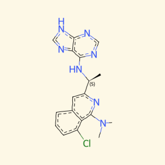 C[C@H](Nc1ncnc2[nH]cnc12)c1cc2cccc(Cl)c2c(N(C)C)n1